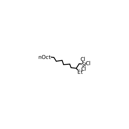 CCCCCCCCCCCCCCC(CC)C[Si](Cl)(Cl)Cl